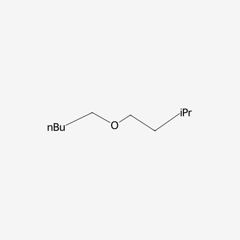 CCCCCOCCC(C)C